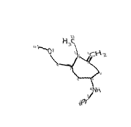 C=C1CC(NC(C)C)CC(COI)N1C